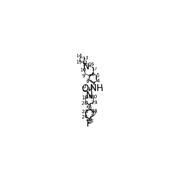 O=C(Nc1ccc2c(c1)CCN(C1CCC1)CC2)N1CCC(c2ccc(F)cc2)CC1